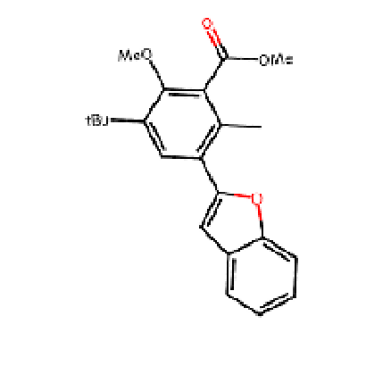 COC(=O)c1c(C)c(-c2cc3ccccc3o2)cc(C(C)(C)C)c1OC